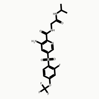 CC(C)NC(=O)CNC(=O)c1ncc(S(=O)(=O)c2ccc(OC(F)(F)F)cc2F)cc1N